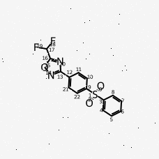 O=S(=O)(c1ccccc1)c1ccc(-c2noc(C(F)F)n2)cc1